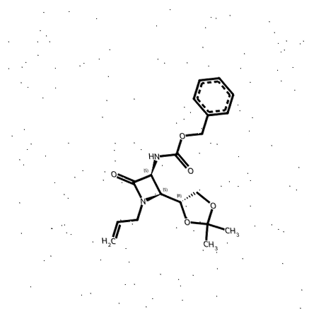 C=CCN1C(=O)[C@@H](NC(=O)OCc2ccccc2)[C@H]1[C@@H]1COC(C)(C)O1